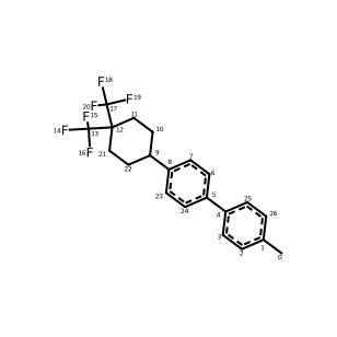 Cc1ccc(-c2ccc(C3CCC(C(F)(F)F)(C(F)(F)F)CC3)cc2)cc1